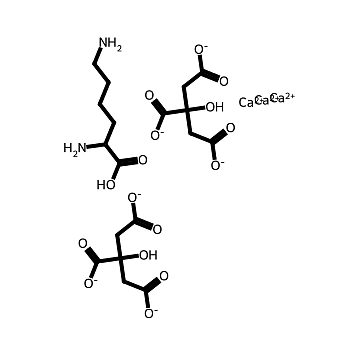 NCCCCC(N)C(=O)O.O=C([O-])CC(O)(CC(=O)[O-])C(=O)[O-].O=C([O-])CC(O)(CC(=O)[O-])C(=O)[O-].[Ca+2].[Ca+2].[Ca+2]